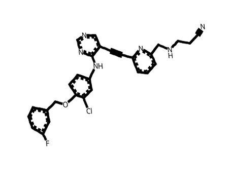 N#CCCNCc1cccc(C#Cc2cncnc2Nc2ccc(OCc3cccc(F)c3)c(Cl)c2)n1